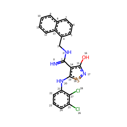 N=C(NCc1cccc2ccccc12)c1c(O)nsc1Nc1cccc(Cl)c1Cl